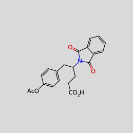 CC(=O)Oc1ccc(CC(CCC(=O)O)N2C(=O)c3ccccc3C2=O)cc1